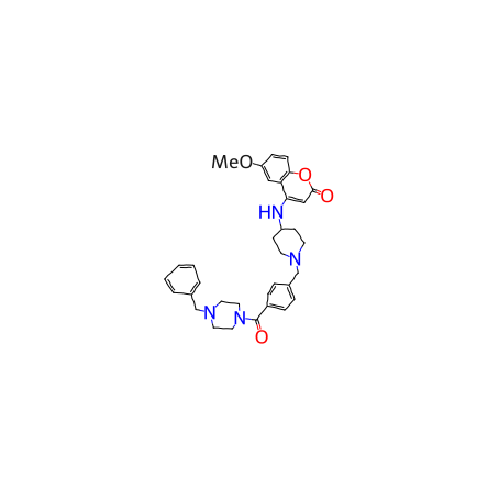 COc1ccc2oc(=O)cc(NC3CCN(Cc4ccc(C(=O)N5CCN(Cc6ccccc6)CC5)cc4)CC3)c2c1